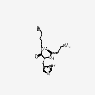 NCCC(=O)N[C@@H](Cc1cnc[nH]1)C(=O)OCCCCBr